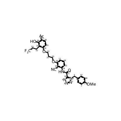 COc1ccc(Cn2nnnc2C(=O)Nc2cccc(OCCCOc3ccc(C(C)=O)c(O)c3CCC(F)(F)F)c2C#N)cc1